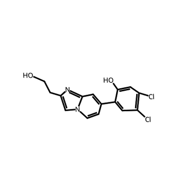 OCCc1cn2ccc(-c3cc(Cl)c(Cl)cc3O)cc2n1